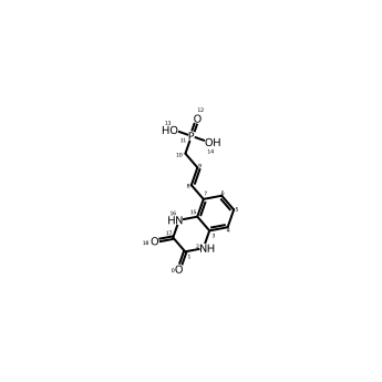 O=c1[nH]c2cccc(/C=C/CP(=O)(O)O)c2[nH]c1=O